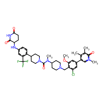 COc1cc(-c2cn(C)c(=O)c(C)c2C)cc(Cl)c1CN1CCC(N(C)C(=O)N2CCC(c3ccc(NC4CCC(=O)NC4=O)cc3C(F)(F)F)CC2)CC1